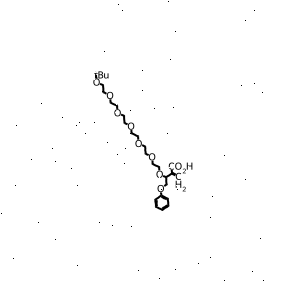 C=C(C(=O)O)C(COc1ccccc1)OCCOCCOCCOCCOCCOCCOC(C)(C)C